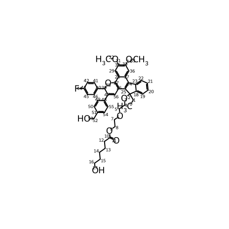 CCC1(OCCOCCOC(=O)CCCCCO)c2ccccc2-c2c1c1c(c3cc(OC)c(OC)cc23)OC(c2ccc(F)cc2)C(c2ccc(CO)cc2)=C1